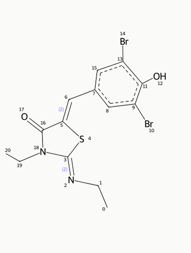 CC/N=C1\S/C(=C\c2cc(Br)c(O)c(Br)c2)C(=O)N1CC